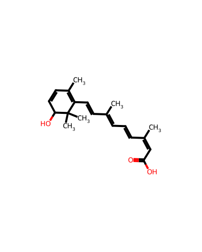 CC1=C(/C=C/C(C)=C/C=C/C(C)=C\C(=O)O)C(C)(C)C(O)C=C1